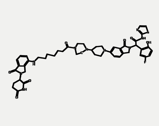 O=C1CCC(N2Cc3c(NCCCCCCC(=O)N4CCN(C5CCN(c6ccc7c(c6)C(=O)N(C(C(=O)Nc6nccs6)c6cc(F)ccc6O)C7)CC5)CC4)cccc3C2=O)C(=O)N1